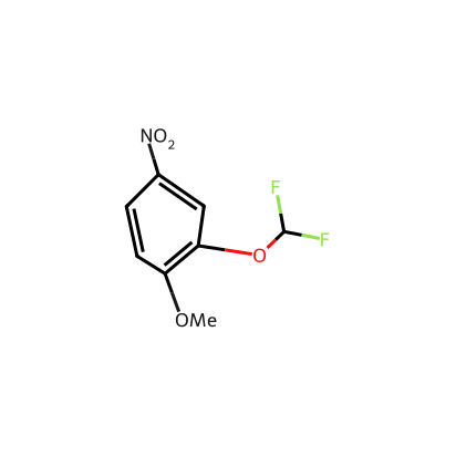 COc1ccc([N+](=O)[O-])cc1OC(F)F